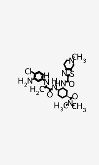 C=C(Nc1ccc(Cl)c(N)c1)C(=O)N[C@H]1CC[C@H](C(=O)N(C)C)C[C@H]1NC(=O)c1nc2c(s1)CN(C)CC2